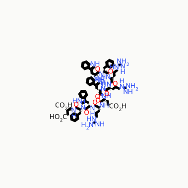 N=C(N)NCCC[C@H](NC(=O)[C@H](CCC(=O)O)NC(=O)[C@H](Cc1c[nH]c2ccccc12)NC(=O)[C@H](CCCNC(=N)N)NC(=O)[C@H](CCCNC(=N)N)NC(=O)[C@H](Cc1ccccc1)NC(=O)[C@@H](N)Cc1c[nH]c2ccccc12)C(=O)N[C@@H](Cc1c[nH]c2ccccc12)C(=O)N[C@@H](Cc1ccccc1)C(=O)N[C@@H](CCC(=O)O)C(=O)O